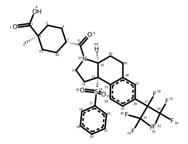 C[C@]1(C(=O)O)CC[C@H](C(=O)N2CC[C@]3(S(=O)(=O)c4ccccc4)c4ccc(C(F)(C(F)(F)F)C(F)(F)F)cc4CC[C@H]23)CC1